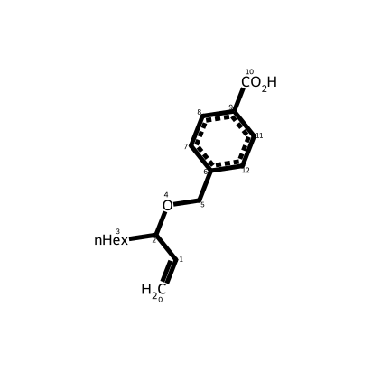 C=CC(CCCCCC)OCc1ccc(C(=O)O)cc1